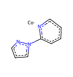 [Co].c1ccc(-n2cccn2)nc1